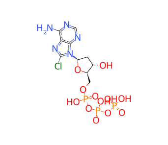 Nc1ncnc2c1nc(Cl)n2[C@H]1C[C@H](O)[C@@H](COP(=O)(O)OP(=O)(O)OP(=O)(O)O)O1